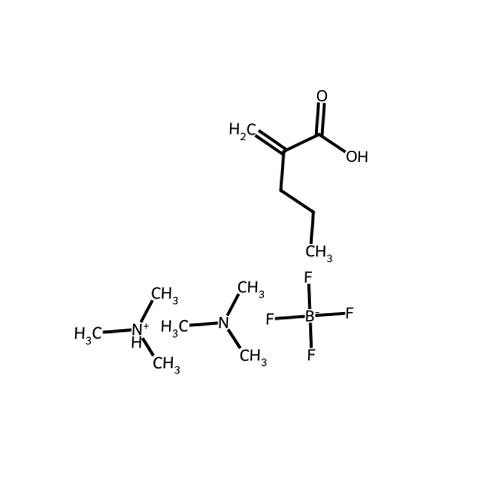 C=C(CCC)C(=O)O.CN(C)C.C[NH+](C)C.F[B-](F)(F)F